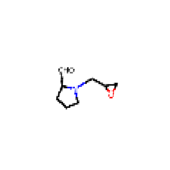 O=CC1CCCN1CC1CO1